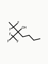 CCCCC(O)(C(C)(F)F)C(F)(F)F